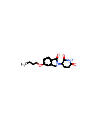 CCCCOc1ccc2c(c1)CN(C1CCC(=O)NC1=O)C2=O